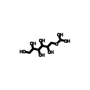 OCC(O)C(O)C(O)C(O)COB(O)O